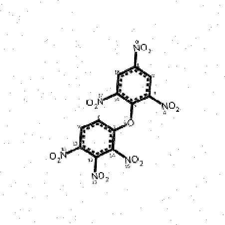 O=[N+]([O-])c1cc([N+](=O)[O-])c(Oc2ccc([N+](=O)[O-])c([N+](=O)[O-])c2[N+](=O)[O-])c([N+](=O)[O-])c1